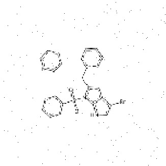 O=S(=O)(c1ccccc1)n1c(Cc2ccccc2)cc2c(Br)c[nH]c21.c1ccncc1